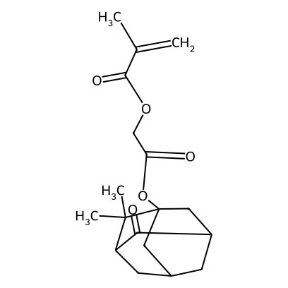 C=C(C)C(=O)OCC(=O)OC12CC3CC(C1)C(=O)C(C3)C2(C)C